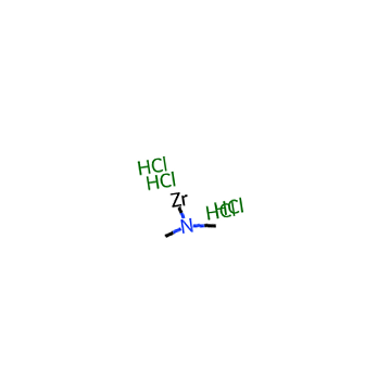 C[N](C)[Zr].Cl.Cl.Cl.Cl